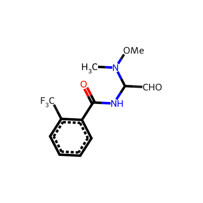 CON(C)C(C=O)NC(=O)c1ccccc1C(F)(F)F